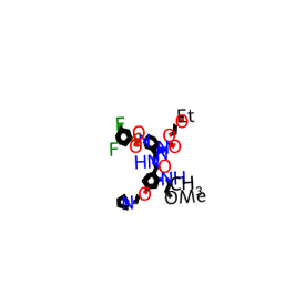 CCOCCOC(=O)n1nc(NC(=O)c2ccc(OCCN3CCCC3)cc2NC(C)COC)c2c1CCN(S(=O)(=O)c1cc(F)cc(F)c1)C2